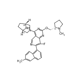 Cc1ccc2c(-c3ncc4c(N5C[C@H]6CC[C@@H](C5)N6)nc(OC[C@@H]5CCCN5C)nc4c3F)cccc2c1